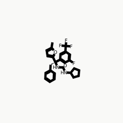 Cc1ccc([C@](Cc2ccccc2)(NC(=O)NC2CCCC2)c2cc(F)cc(C(F)(F)F)c2)o1